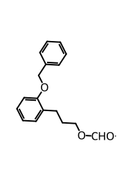 O=[C]OCCCc1ccccc1OCc1ccccc1